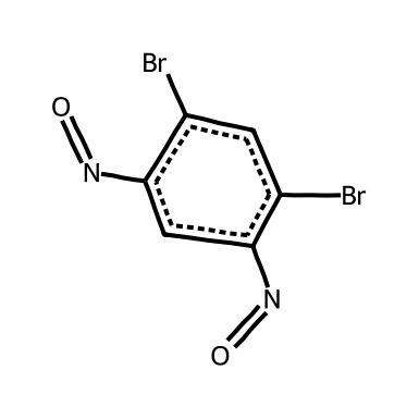 O=Nc1cc(N=O)c(Br)cc1Br